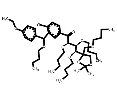 CCCCOCC1([C@@H](OCCCC)[C@H](OCCCC)[C@@H](OCCCC)C(=O)c2ccc(Cl)c(C(OCCCC)c3ccc(OCC)cc3)c2)COC(C)(C)O1